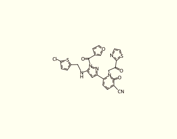 N#Cc1ccc(-c2cc(NCc3ccc(Cl)s3)n(C(=O)c3ccoc3)n2)n(CC(=O)c2nccs2)c1=O